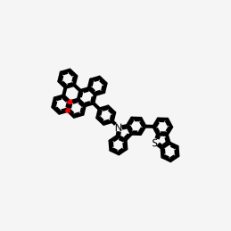 c1ccc(-c2ccccc2-c2c3ccccc3c(-c3ccc(-n4c5ccccc5c5cc(-c6cccc7c6sc6ccccc67)ccc54)cc3)c3ccccc23)cc1